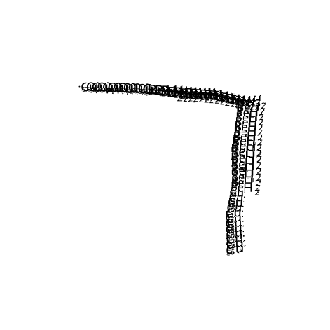 [BeH2].[BeH2].[BeH2].[BeH2].[BeH2].[BeH2].[BeH2].[BeH2].[BeH2].[BeH2].[BeH2].[BeH2].[BeH2].[BeH2].[BeH2].[BeH2].[BeH2].[BeH2].[BeH2].[BeH2].[BeH2].[BeH2].[BeH2].[BeH2].[BeH2].[BeH2].[BeH2].[BeH2].[BeH2].[BeH2].[BeH2].[BeH2].[BeH2].[Cu].[Cu].[Cu].[Cu].[Cu].[Cu].[Cu].[Cu].[Cu].[Cu].[Cu].[Cu].[Cu].[Cu].[Cu].[Cu].[Cu].[Cu].[Cu].[Cu].[Cu].[Cu].[Cu].[Cu].[Cu]